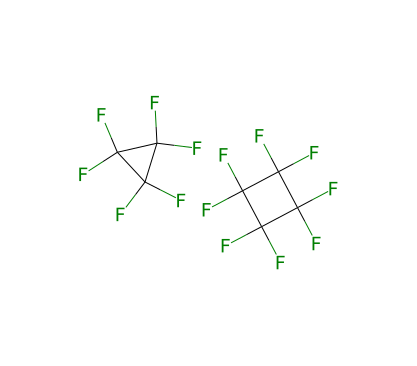 FC1(F)C(F)(F)C(F)(F)C1(F)F.FC1(F)C(F)(F)C1(F)F